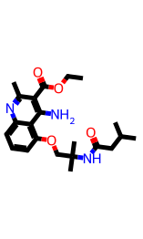 CCOC(=O)c1c(C)nc2cccc(OCC(C)(C)NC(=O)CC(C)C)c2c1N